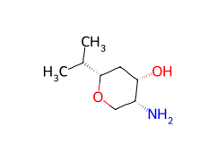 CC(C)[C@@H]1C[C@H](O)[C@H](N)CO1